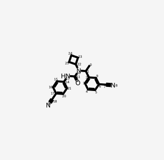 CC(c1cccc(C#N)c1)N(C(=O)Nc1ccc(C#N)cc1)C1CCC1